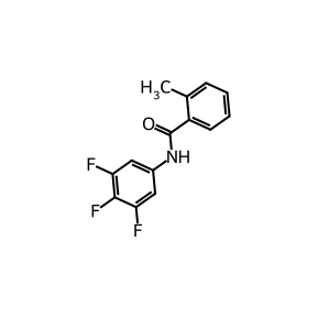 Cc1ccccc1C(=O)Nc1cc(F)c(F)c(F)c1